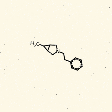 [CH2]C1C2CN(CCc3ccccc3)CC12